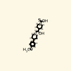 COc1ccc(C2CCN(CC(O)C3CCN(C(O)=S)CC3)CC2)cc1